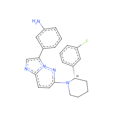 Nc1cccc(-c2cnc3ccc(N4CCCC[C@H]4c4cccc(F)c4)nn23)c1